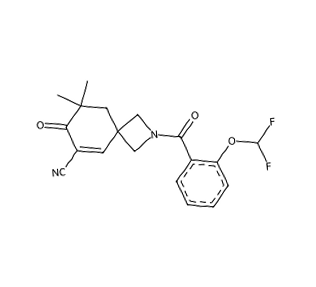 CC1(C)CC2(C=C(C#N)C1=O)CN(C(=O)c1ccccc1OC(F)F)C2